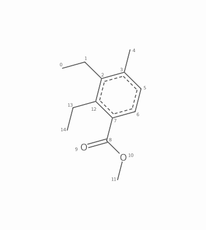 CCc1c(C)ccc(C(=O)OC)c1CC